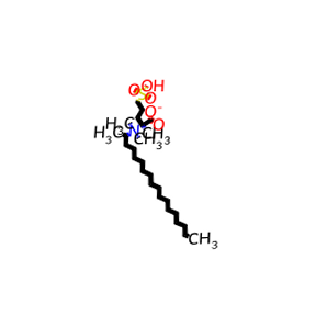 CCCCCCCCCCCCCCCCC(C)[N+](C)(C)C(C)(CCCS(=O)(=O)O)C(=O)[O-]